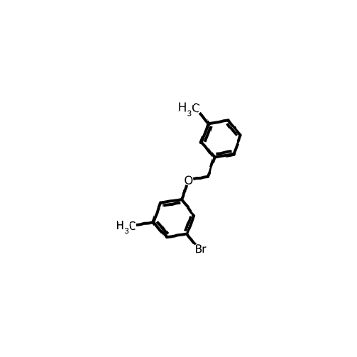 Cc1cccc(COc2cc(C)cc(Br)c2)c1